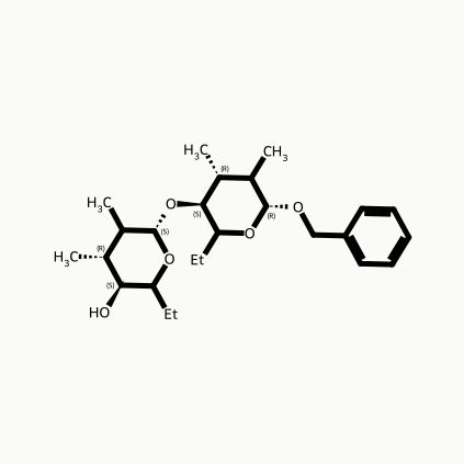 CCC1O[C@@H](O[C@@H]2C(CC)O[C@@H](OCc3ccccc3)C(C)[C@H]2C)C(C)[C@@H](C)[C@@H]1O